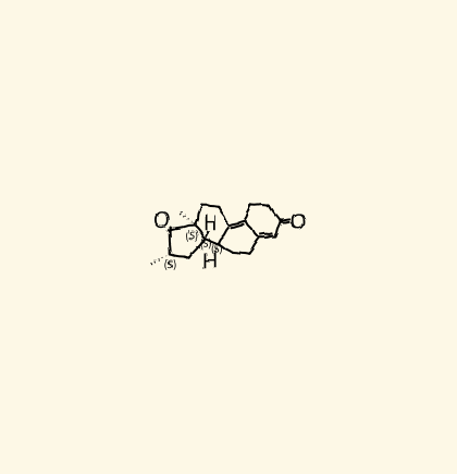 C[C@H]1C[C@H]2[C@@H]3CCC4=CC(=O)CCC4=C3CC[C@]2(C)C1=O